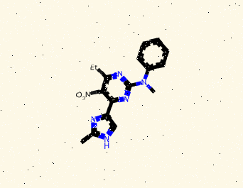 CCc1nc(N(C)c2ccccc2)nc(-c2c[nH]c(C)n2)c1[N+](=O)[O-]